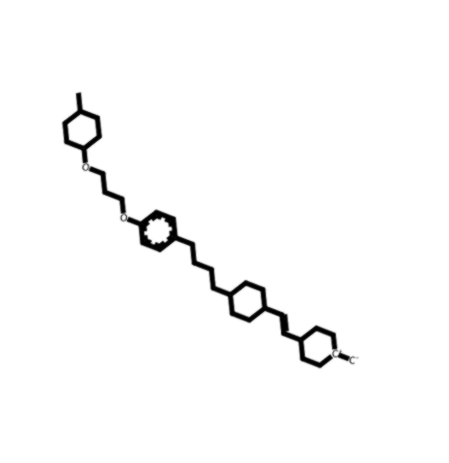 [CH2-][C+]1CCC(C=CC2CCC(CCCCc3ccc(OCCCOC4CCC(C)CC4)cc3)CC2)CC1